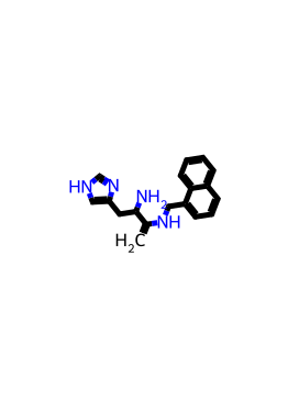 C=C(NCc1cccc2ccccc12)C(N)Cc1c[nH]cn1